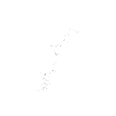 C[C@@H](/C=C/C(O)C1CC1)C1CCC2/C(=C/C=C3/C[C@H](OC(=O)CCSSCCC(=O)OCC4OC(n5ccc(N)nc5=O)C(F)(F)C4O)C[C@H](O)C3(C)C)CCC[C@@]21C